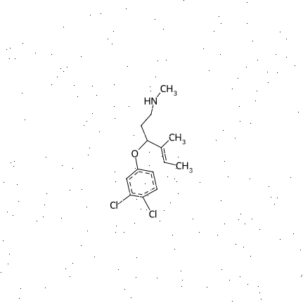 CC=C(C)C(CCNC)Oc1ccc(Cl)c(Cl)c1